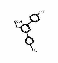 O=C(O)Cc1cc(-c2ccc(O)cc2)cc(-c2ccc(C(F)(F)F)cc2)c1